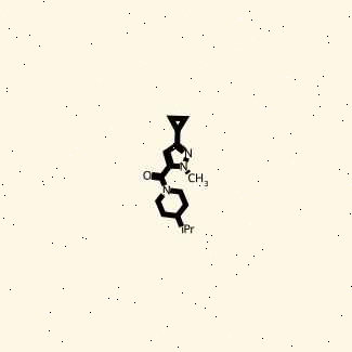 CC(C)C1CCN(C(=O)c2cc(C3CC3)nn2C)CC1